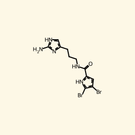 Nc1nc(CCCNC(=O)c2cc(Br)c(Br)[nH]2)c[nH]1